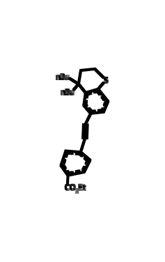 CCCCC1(CCCC)CCSc2ccc(C#Cc3ccc(C(=O)OCC)cc3)cc21